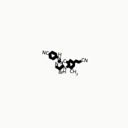 Cc1cc(/C=C/C#N)cc(C)c1Nc1nc(Nc2ccc(C#N)cc2)ncc1Br